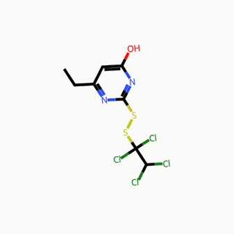 CCc1cc(O)nc(SSC(Cl)(Cl)C(Cl)Cl)n1